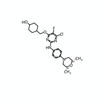 C[C@@H]1CN(c2ccc(Nc3nc(Cl)c(F)c(OCC4CCC(O)CC4)n3)cc2)C[C@H](C)O1